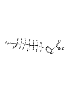 CCC(=O)c1nc(C(F)(F)C(F)(F)C(F)(F)C(F)(F)C(F)(F)C(F)(F)C(F)(F)C(F)(F)F)c[nH]1